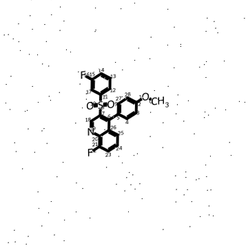 COc1ccc(-c2c(S(=O)(=O)c3cccc(F)c3)cnc3c(F)cccc23)cc1